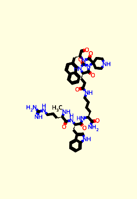 CN[C@@H](CCCNC(=N)N)C(=O)N[C@@H](Cc1c[nH]c2ccccc12)C(=O)N[C@@H](CCCCNC(=O)CC[C@@H]1NC(=O)N(C2(C(=O)N[C@@H](C=O)Cc3ccc4ccccc4c3)CCNCC2)C1=O)C(N)=O